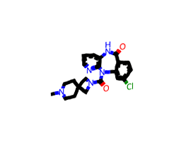 CN1CCC2(CC1)CN(C(=O)N1c3cc(Cl)ccc3C(=O)Nc3cccnc31)C2